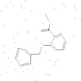 CNC(=O)c1ccccc1NCc1ccccc1